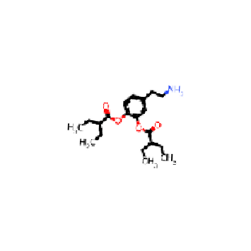 CCC(CC)C(=O)Oc1ccc(CCN)cc1OC(=O)C(CC)CC